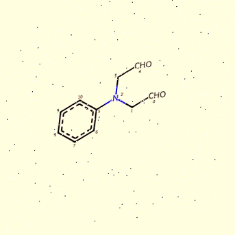 O=CCN(CC=O)c1ccccc1